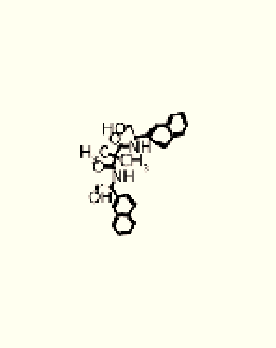 CC(C)(C(=O)N[C@@H](CO)c1ccc2ccccc2c1)C(=O)N[C@@H](CO)c1ccc2ccccc2c1